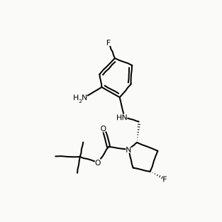 CC(C)(C)OC(=O)N1C[C@@H](F)C[C@H]1CNc1ccc(F)cc1N